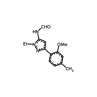 CCn1nc(-c2ccc(C)cc2OC)cc1NC=O